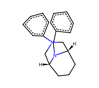 c1ccc(CN2[C@@H]3CCC[C@H]2CN(c2ccccc2)C3)cc1